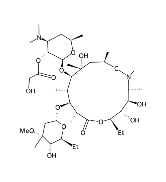 CC[C@@H]1O[C@@H](O[C@H]2[C@H](C)[C@@H](O[C@@H]3O[C@H](C)C[C@H](N(C)C)[C@H]3OC(=O)CO)[C@](C)(O)C[C@@H](C)CN(C)[C@H](C)[C@@H](O)[C@H](O)[C@@H](CC)OC(=O)[C@@H]2C)C[C@@](C)(OC)[C@H]1O